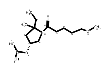 CCC1(C)C[C@@H](OP(O)O)CN1C(=O)CCCCOC